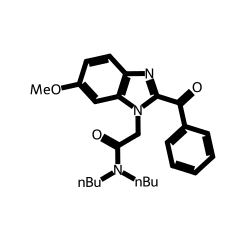 CCCCN(CCCC)C(=O)Cn1c(C(=O)c2ccccc2)nc2ccc(OC)cc21